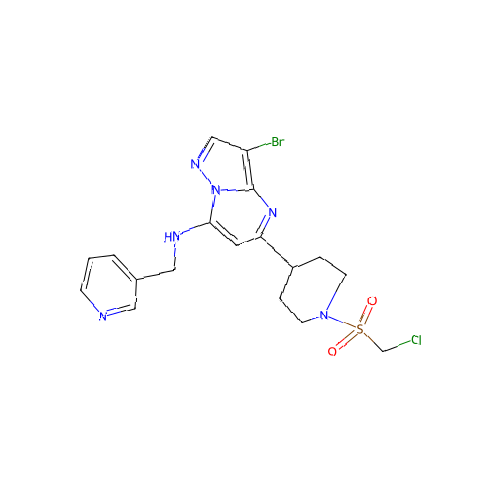 O=S(=O)(CCl)N1CCC(c2cc(NCc3cccnc3)n3ncc(Br)c3n2)CC1